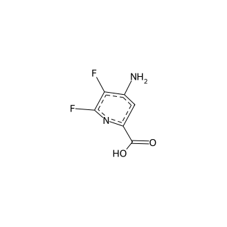 Nc1cc(C(=O)O)nc(F)c1F